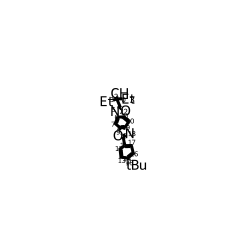 CCC(C)(CC)c1nc2cc3oc(-c4ccc(C(C)(C)C)cc4)nc3cc2o1